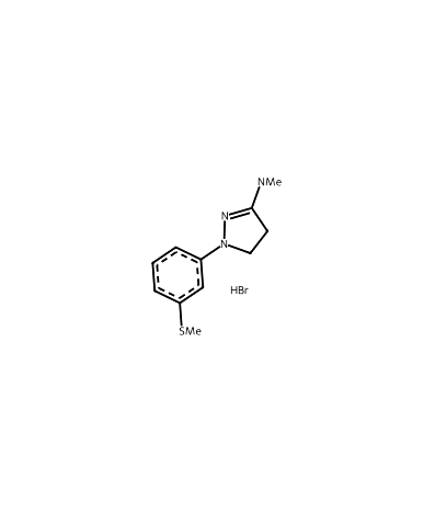 Br.CNC1=NN(c2cccc(SC)c2)CC1